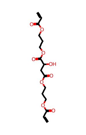 C=CC(=O)OCCCOC(=O)CC(O)C(=O)OCCCOC(=O)C=C